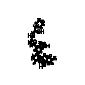 Cc1ncc(-c2cc(-c3nnc(CNCC(O)CN4CCOCC4)o3)c3cn[nH]c3c2)cc1NS(=O)(=O)c1ccc(F)cc1F